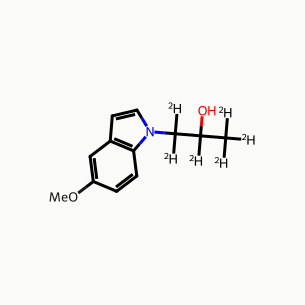 [2H]C([2H])([2H])C([2H])(O)C([2H])([2H])n1ccc2cc(OC)ccc21